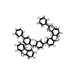 c1ccc(-c2ccc(N(c3ccc(-c4ccc5oc6ccc7sc(-c8ccccc8)nc7c6c5c4)cc3)c3cccc4oc5ccccc5c34)cc2)cc1